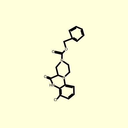 O=C1Nc2c(Cl)cccc2N2CCN(C(=O)OCc3ccccc3)CC12